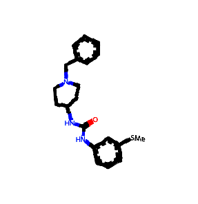 CSc1cccc(NC(=O)NC2CCN(Cc3ccccc3)CC2)c1